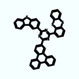 c1ccc2c(c1)Sc1cccc(-c3nc(-c4ccc5sc6ccccc6c5c4)nc(-c4ccc5c6ccccc6c6ccccc6c5c4)n3)c1S2